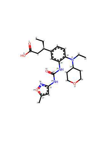 CC[C@H](CC(=O)O)c1ccc(N(CC)C2CCOCC2)c(NC(=O)Nc2cc(C)on2)c1